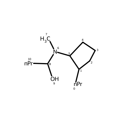 CCCC1CCCC1N(C)C(O)CCC